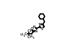 CC(C)(C)Cc1nc(-c2nc(CC3CCCCC3)cs2)no1